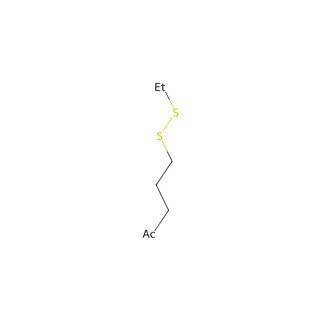 CCSSCCCC(C)=O